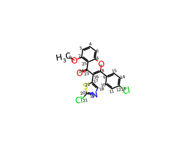 COc1cccc2oc(-c3ccc(Cl)cc3)c(-c3cnc(Cl)s3)c(=O)c12